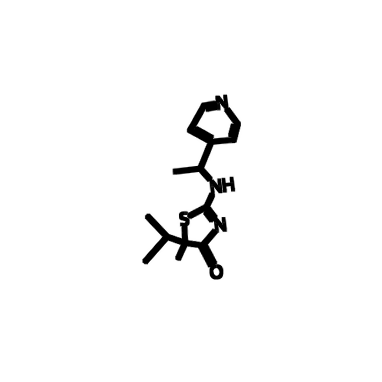 CC(NC1=NC(=O)C(C)(C(C)C)S1)c1ccncc1